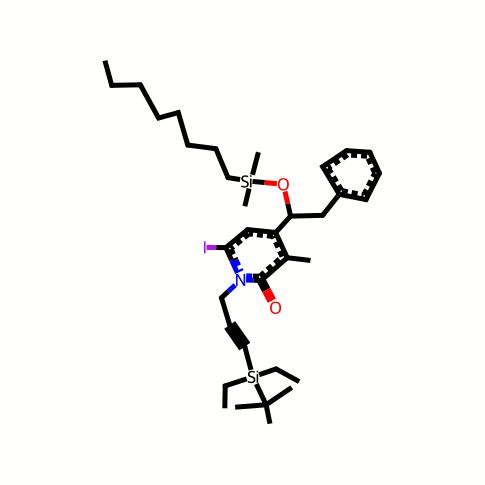 CCCCCCCC[Si](C)(C)OC(Cc1ccccc1)c1cc(I)n(CC#C[Si](CC)(CC)C(C)(C)C)c(=O)c1C